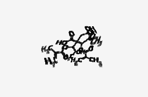 C=C(C)C(=O)OC(C(C)O)C(CC(=O)O)(C(=O)O)C(OC(=O)C(=C)C)C(C)O